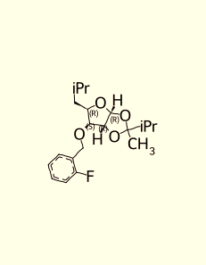 CC(C)C[C@H]1O[C@@H]2OC(C)(C(C)C)O[C@@H]2[C@H]1OCc1ccccc1F